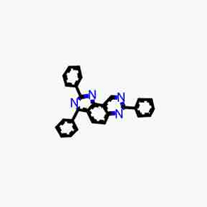 c1ccc(-c2ncc3c(ccc4c(-c5ccccc5)nc(-c5ccccc5)nc43)n2)cc1